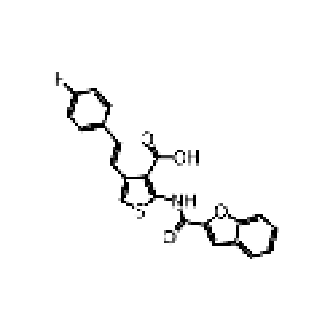 O=C(Nc1scc(C=Cc2ccc(F)cc2)c1C(=O)O)c1cc2ccccc2o1